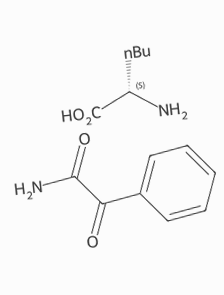 CCCC[C@H](N)C(=O)O.NC(=O)C(=O)c1ccccc1